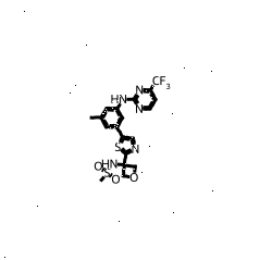 Cc1cc(Nc2nccc(C(F)(F)F)n2)cc(-c2cnc(C3(NS(C)(=O)=O)COC3)s2)c1